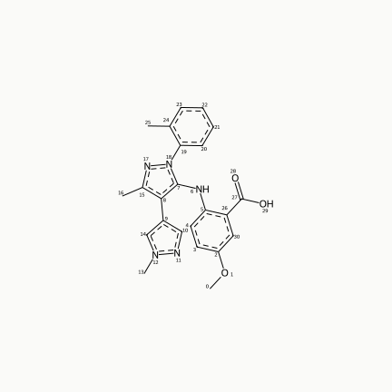 COc1ccc(Nc2c(-c3cnn(C)c3)c(C)nn2-c2ccccc2C)c(C(=O)O)c1